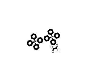 O=C([O-])C(=O)[O-].c1ccc([P+](c2ccccc2)(c2ccccc2)c2ccccc2)cc1.c1ccc([P+](c2ccccc2)(c2ccccc2)c2ccccc2)cc1